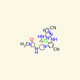 CN1CC(NC2CCN(c3cc(C#N)cc(Nc4nc(NC5CC5)c5ncc(C#N)n5n4)c3Cl)CC2)CC1=O